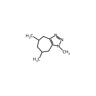 CC1Cc2nnn(C)c2CC(C)C1